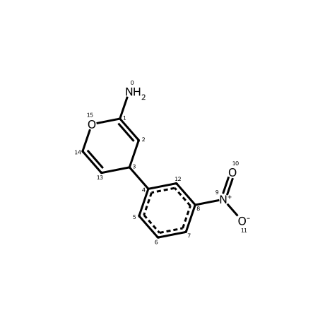 NC1=CC(c2cccc([N+](=O)[O-])c2)C=CO1